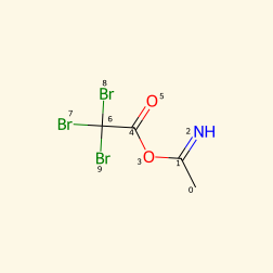 CC(=N)OC(=O)C(Br)(Br)Br